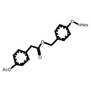 CCCCCCOc1ccc(COC(=O)Cc2ccc(OC(C)=O)cc2)cc1